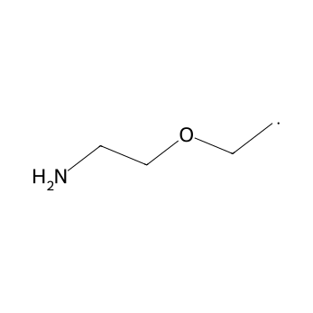 [CH2]COCCN